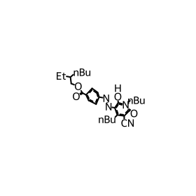 CCCCc1c(/N=N/c2ccc(C(=O)OCC(CC)CCCC)cc2)c(O)n(CCCC)c(=O)c1C#N